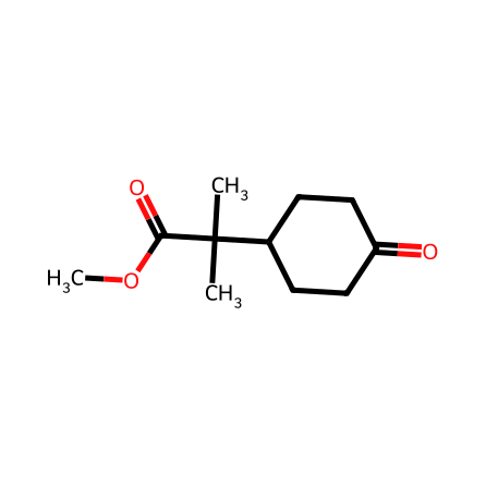 COC(=O)C(C)(C)C1CCC(=O)CC1